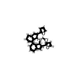 Cl[CH2][Hf]([CH]1C(c2ccco2)=Cc2ccccc21)[CH]1C(c2ccco2)=Cc2ccccc21